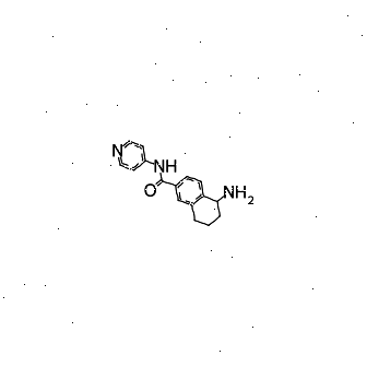 NC1CCCc2cc(C(=O)Nc3ccncc3)ccc21